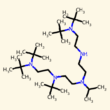 CC(C)N(CCNCCN(C(C)(C)C)C(C)(C)C)CCN(CCN(C(C)(C)C)C(C)(C)C)C(C)(C)C